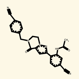 CC(=O)Nc1cc(C#N)ccc1-c1cc2n(n1)CCN(Cc1ccc(C#N)cc1)C2=O